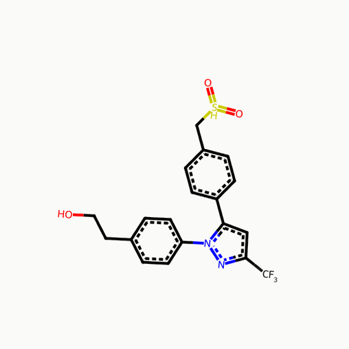 O=[SH](=O)Cc1ccc(-c2cc(C(F)(F)F)nn2-c2ccc(CCO)cc2)cc1